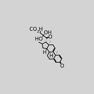 CC1C[C@H]2[C@@H]3CCC4=CC(=O)C=C[C@]4(C)C3=CC[C@]2(C)[C@H]1C(=O)C(O)(O)CC(=O)O